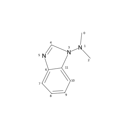 CN(C)n1cnc2ccccc21